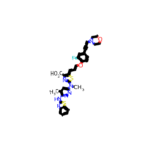 Cc1cc(N(C)c2nc(C(=O)O)c(CCCOc3ccc(C#CCN4CCOCC4)cc3F)s2)nnc1Nc1nc2ccccc2s1